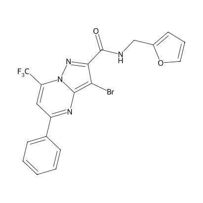 O=C(NCc1ccco1)c1nn2c(C(F)(F)F)cc(-c3ccccc3)nc2c1Br